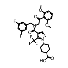 COc1cccc(OC)c1C(=O)CN(Cc1cc(F)cc(F)c1)C(=O)c1cnn([C@H]2CC[C@H](C(=O)O)CC2)c1C(F)(F)F